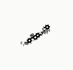 Cc1ccccc1NC(=S)N/N=C/c1ccc2c(c1)CCc1c(-c3ccc(OC(F)(F)F)cc3)noc1-2